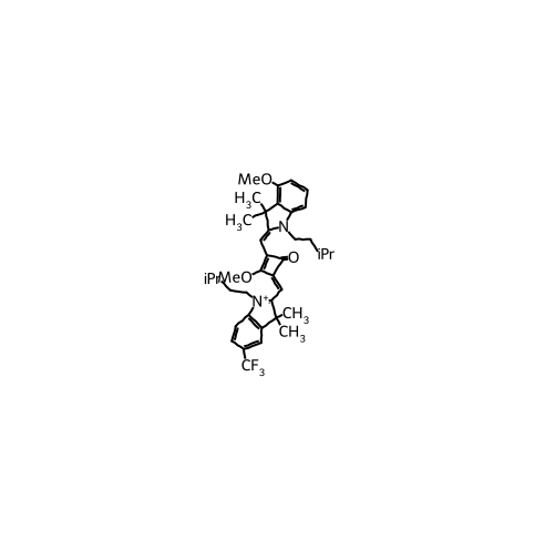 COC1=C(/C=C2\N(CCC(C)C)c3cccc(OC)c3C2(C)C)C(=O)/C1=C/C1=[N+](CCC(C)C)c2ccc(C(F)(F)F)cc2C1(C)C